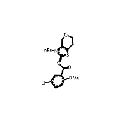 CCCCn1c2c(s/c1=N\C(=O)c1cc(Cl)ccc1OC)CCOC2